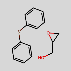 OCC1CO1.c1ccc(Sc2ccccc2)cc1